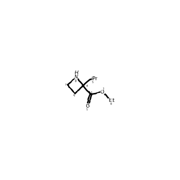 CCOC(=O)C1(C(C)C)CCN1